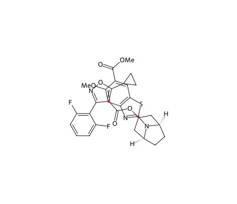 COC(=O)c1cc2sc(N3[C@@H]4CC[C@H]3CC(OC(=O)c3c(-c5c(F)cccc5F)noc3C3CC3)C4)nc2cc1OC